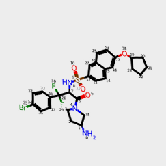 N[C@H]1CCN(C(=O)[C@H](NS(=O)(=O)c2ccc3cc(OC4CCCC4)ccc3c2)C(F)(F)c2ccc(Br)cc2)C1